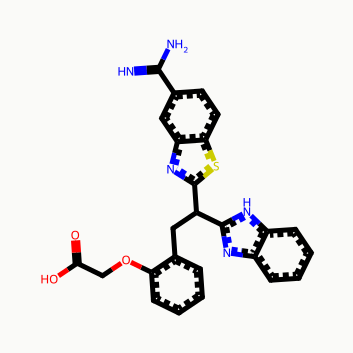 N=C(N)c1ccc2sc(C(Cc3ccccc3OCC(=O)O)c3nc4ccccc4[nH]3)nc2c1